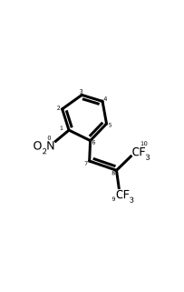 O=[N+]([O-])c1ccccc1C=C(C(F)(F)F)C(F)(F)F